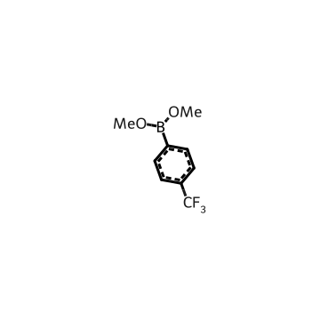 COB(OC)c1ccc(C(F)(F)F)cc1